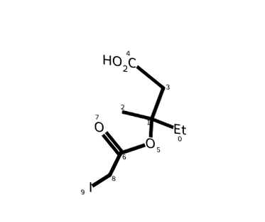 CCC(C)(CC(=O)O)OC(=O)CI